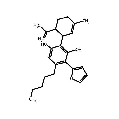 C=C(C)C1CCC(C)=CC1c1c(O)cc(CCCCC)c(-c2ccco2)c1O